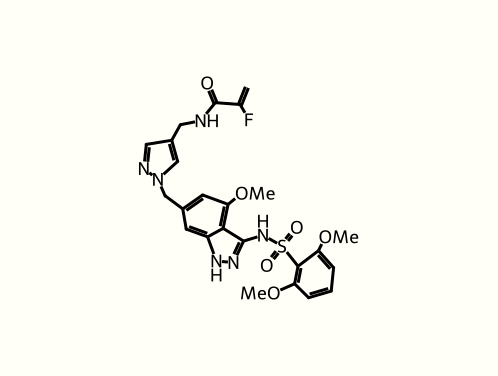 C=C(F)C(=O)NCc1cnn(Cc2cc(OC)c3c(NS(=O)(=O)c4c(OC)cccc4OC)n[nH]c3c2)c1